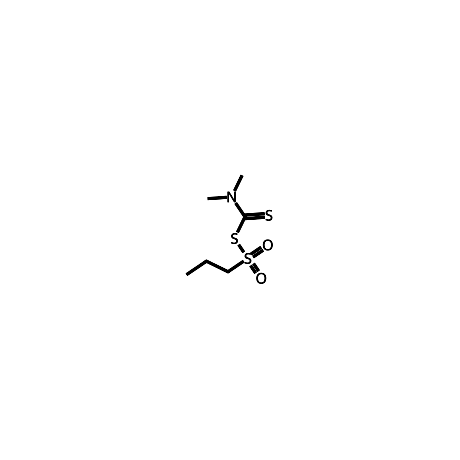 CCCS(=O)(=O)SC(=S)N(C)C